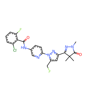 CN1N=C(c2cc(CF)n(-c3ccc(NC(=O)c4c(F)cccc4Cl)cn3)n2)C(C)(C)C1=O